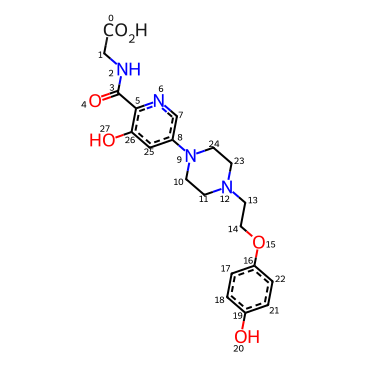 O=C(O)CNC(=O)c1ncc(N2CCN(CCOc3ccc(O)cc3)CC2)cc1O